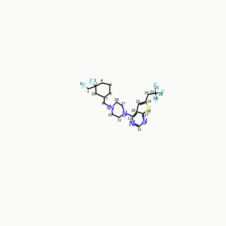 FCC1(F)CCCC(CN2CCN(c3ncnc4sc(CC(F)(F)F)cc34)CC2)C1